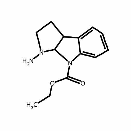 CCOC(=O)N1c2ccccc2C2CCN(N)C21